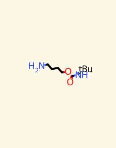 CC(C)(C)NC(=O)OCCCCN